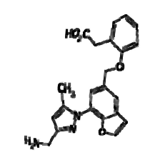 Cc1cc(CN)nn1-c1cc(COc2ccccc2CC(=O)O)cc2ccoc12